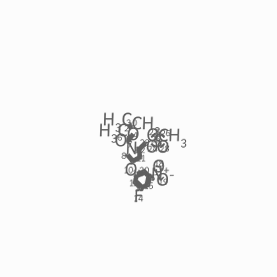 CC(C)(C)OC(=O)N1CC(Oc2cc(F)cc([N+](=O)[O-])c2)CC1COS(C)(=O)=O